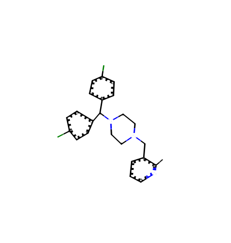 O=C(O)c1ncccc1CN1CCN(C(c2ccc(F)cc2)c2ccc(F)cc2)CC1